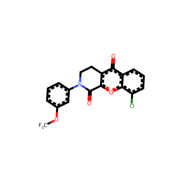 O=C1c2oc3c(Cl)cccc3c(=O)c2CCN1c1cccc(OC(F)(F)F)c1